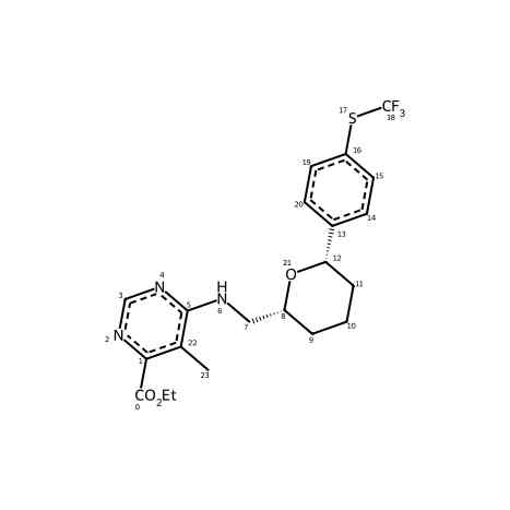 CCOC(=O)c1ncnc(NC[C@H]2CCC[C@@H](c3ccc(SC(F)(F)F)cc3)O2)c1C